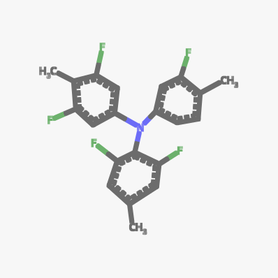 Cc1cc(F)c(N(c2ccc(C)c(F)c2)c2cc(F)c(C)c(F)c2)c(F)c1